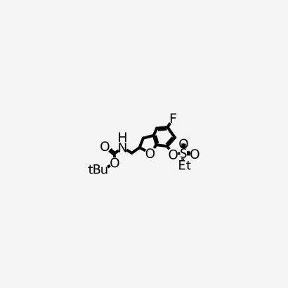 CCS(=O)(=O)Oc1cc(F)cc2c1OC(CNC(=O)OC(C)(C)C)C2